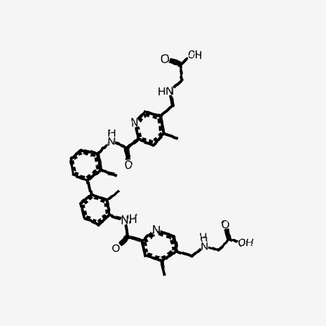 Cc1cc(C(=O)Nc2cccc(-c3cccc(NC(=O)c4cc(C)c(CNCC(=O)O)cn4)c3C)c2C)ncc1CNCC(=O)O